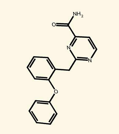 NC(=O)c1ccnc(Cc2ccccc2Oc2ccccc2)n1